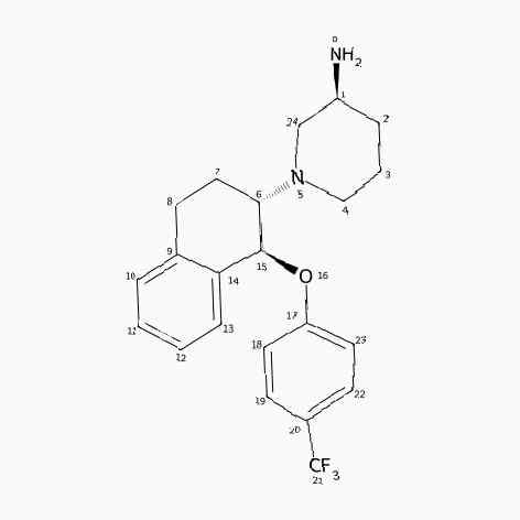 N[C@H]1CCCN([C@H]2CCc3ccccc3[C@@H]2Oc2ccc(C(F)(F)F)cc2)C1